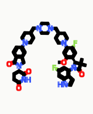 COc1cc(N2CCC(CN3CCN(CC4CCN(c5ccc6c(c5)CN([C@H]5CCC(=O)NC5=O)C6=O)CC4)CC3)CC2)c(F)cc1[C@@H]1N(c2cc(F)cc3[nH]ccc23)C(=O)C1(C)C